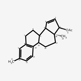 CC(=O)OC1C=CC2C3CCc4cc(C)ccc4C3CC[C@]12C